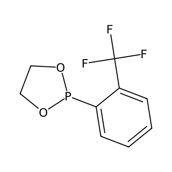 FC(F)(F)c1ccccc1P1OCCO1